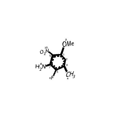 COc1cc(C)c(F)c(N)c1[N+](=O)[O-]